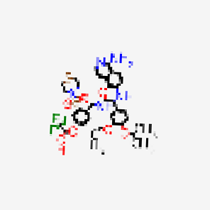 CCOc1cc(C(Nc2ccc3c(N)nccc3c2)C(=O)NCc2ccccc2S(=O)(=O)N2CCSCC2)ccc1OC(C)C.O=C(O)C(F)(F)F